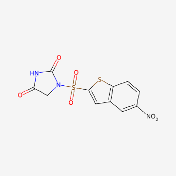 O=C1CN(S(=O)(=O)c2cc3cc([N+](=O)[O-])ccc3s2)C(=O)N1